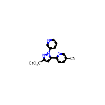 CCOC(=O)c1cc(-c2ccc(C#N)cn2)n(-c2cccnc2)n1